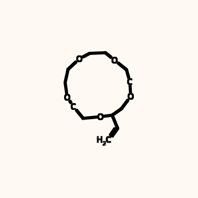 C=CC1COCCOCCOCCOCCO1